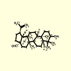 C=C(C)[C@@H]1CC[C@]2([C]=O)CC[C@]3(C)[C@H](CC[C@@H]4[C@@]5(C)CCC(OC(C)=O)C(C)(C)[C@@H]5CC[C@]43C)[C@@H]12